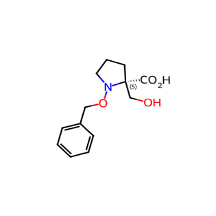 O=C(O)[C@@]1(CO)CCCN1OCc1ccccc1